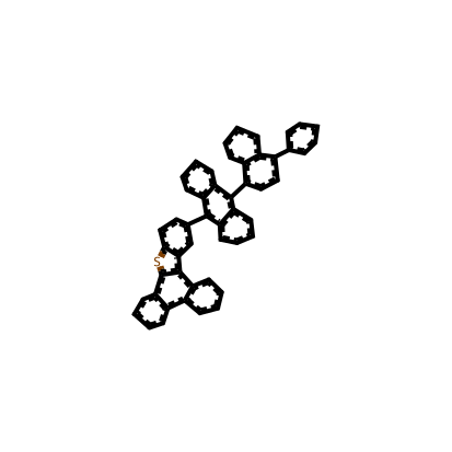 c1ccc(-c2ccc(-c3c4ccccc4c(-c4ccc5sc6c7ccccc7c7ccccc7c6c5c4)c4ccccc34)c3ccccc23)cc1